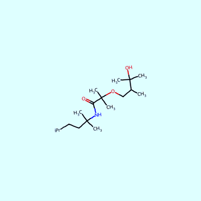 CC(C)CCC(C)(C)NC(=O)C(C)(C)OCC(C)C(C)(C)O